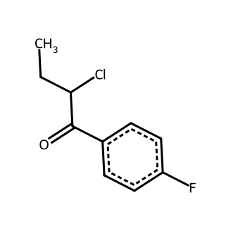 CCC(Cl)C(=O)c1ccc(F)cc1